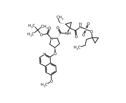 CCCC1(OS(=O)(=O)NC(=O)[C@@]2(NC(=O)[C@@H]3C[C@@H](Oc4nccc5cc(OC)ccc45)CN3C(=O)OC(C)(C)C)C[C@H]2CC)CC1